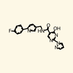 O=C(NCc1ccc(-c2ccc(F)cc2)nc1)c1cnc(-n2cccn2)nc1O